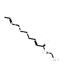 C/C=C/CCCC/C=C/C(=O)NCC(C)C